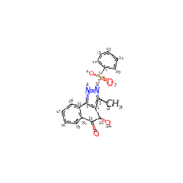 Cc1c2c(nn1S(=O)(=O)c1ccccc1)-c1ccccc1C(=O)C2=O